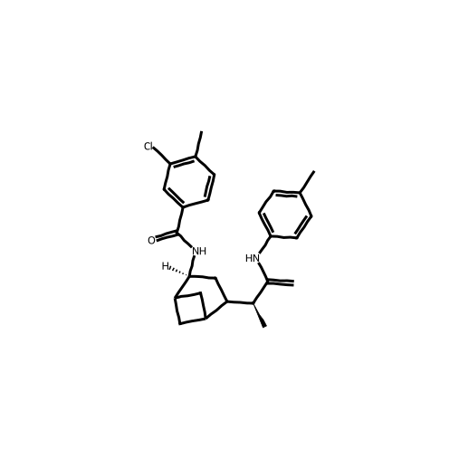 C=C(Nc1ccc(C)cc1)[C@@H](C)C1C[C@H](NC(=O)c2ccc(C)c(Cl)c2)C2CC1C2